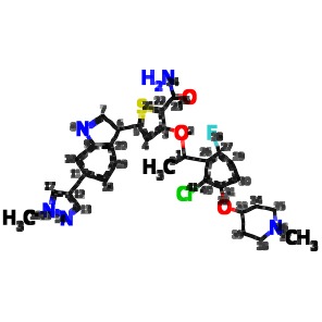 CC(Oc1cc(C2C=Nc3cc(-c4cnn(C)c4)ccc32)sc1C(N)=O)c1c(F)ccc(OC2CCN(C)CC2)c1Cl